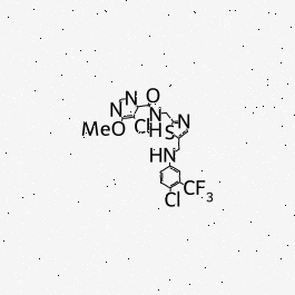 COc1ncnc(C(=O)NCc2ncc(CNc3ccc(Cl)c(C(F)(F)F)c3)s2)c1Cl